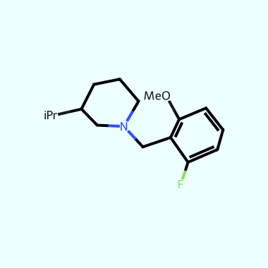 COc1cccc(F)c1CN1CCCC(C(C)C)C1